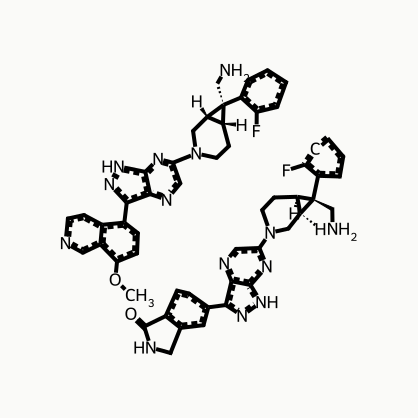 COc1ccc(-c2n[nH]c3nc(N4CC[C@@H]5[C@H](C4)[C@@]5(CN)c4ccccc4F)cnc23)c2ccncc12.NC[C@]1(c2ccccc2F)[C@@H]2CCN(c3cnc4c(-c5ccc6c(c5)CNC6=O)n[nH]c4n3)C[C@@H]21